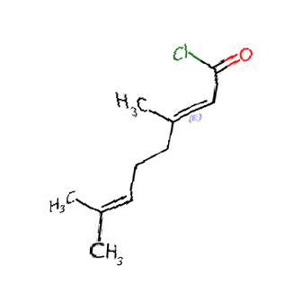 CC(C)=CCC/C(C)=C/C(=O)Cl